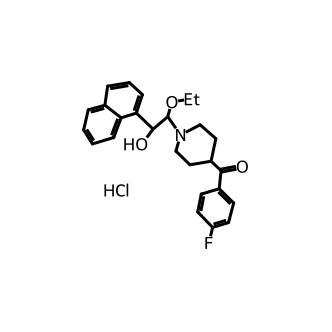 CCOC(C(O)c1cccc2ccccc12)N1CCC(C(=O)c2ccc(F)cc2)CC1.Cl